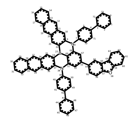 c1ccc(-c2ccc(N3c4cc5cc6ccccc6cc5cc4B4c5cc6cc7ccccc7cc6cc5N(c5ccc(-c6ccccc6)cc5)c5cc(-c6ccc7oc8ccccc8c7c6)cc3c54)cc2)cc1